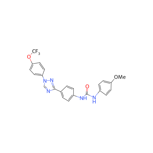 COc1ccc(NC(=O)Nc2ccc(-c3ncn(-c4ccc(OC(F)(F)F)cc4)n3)cc2)cc1